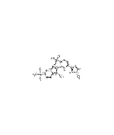 CCS(=O)(=O)c1ccc(-n2cnc(Cl)n2)nc1-c1nc2cc(S(=O)(=O)C(F)(F)F)ccc2n1C